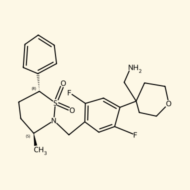 C[C@H]1CC[C@H](c2ccccc2)S(=O)(=O)N1Cc1cc(F)c(C2(CN)CCOCC2)cc1F